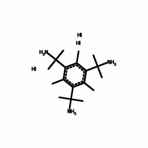 Cc1c(C(C)(C)N)c(C)c(C(C)(C)N)c(C)c1C(C)(C)N.I.I.I